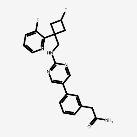 NC(=O)Cc1cccc(-c2cnc(NCC3(c4ncccc4F)CC(F)C3)nc2)c1